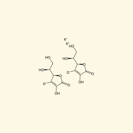 O=C1O[C@H]([C@@H](O)CO)C([O-])=C1O.O=C1O[C@H]([C@@H](O)CO)C([O-])=C1O.[K+].[K+]